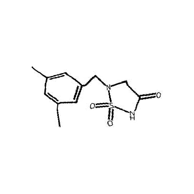 Cc1cc(C)cc(CN2CC(=O)NS2(=O)=O)c1